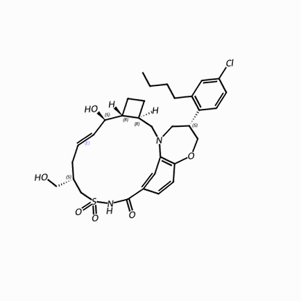 CCCCc1cc(Cl)ccc1[C@@H]1COc2ccc3cc2N(C1)C[C@@H]1CC[C@H]1[C@H](O)/C=C/C[C@@H](CO)CS(=O)(=O)NC3=O